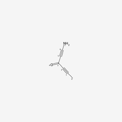 CC#CC(=O)C#CN